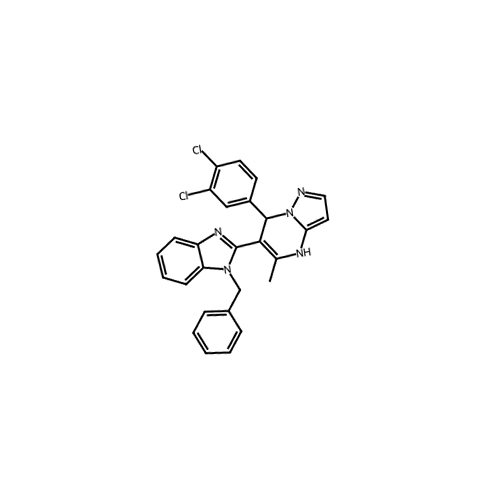 CC1=C(c2nc3ccccc3n2Cc2ccccc2)C(c2ccc(Cl)c(Cl)c2)n2nccc2N1